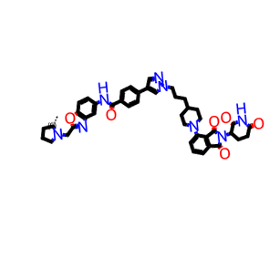 C[C@H]1CCCN1Cc1nc2cc(NC(=O)c3ccc(-c4cnn(CCCC5CCN(c6cccc7c6C(=O)N(C6CCC(=O)NC6=O)C7=O)CC5)c4)cc3)ccc2o1